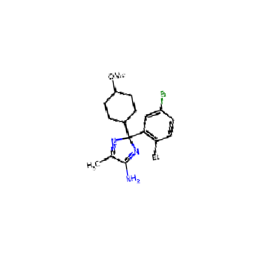 CCc1ccc(Br)cc1C1(C2CCC(OC)CC2)N=C(C)C(N)=N1